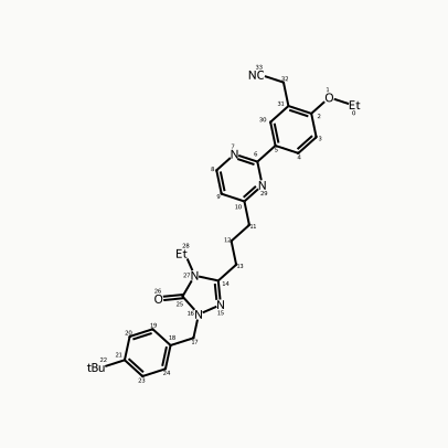 CCOc1ccc(-c2nccc(CCCc3nn(Cc4ccc(C(C)(C)C)cc4)c(=O)n3CC)n2)cc1CC#N